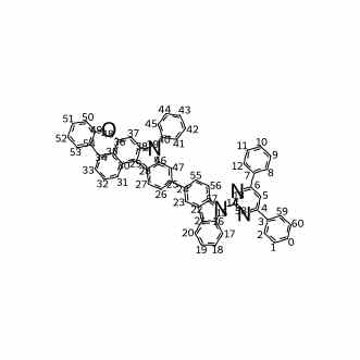 c1ccc(-c2cc(-c3ccccc3)nc(-n3c4ccccc4c4cc(-c5ccc6c7c8cccc9c8c(cc7n(-c7ccccc7)c6c5)Oc5ccccc5-9)ccc43)n2)cc1